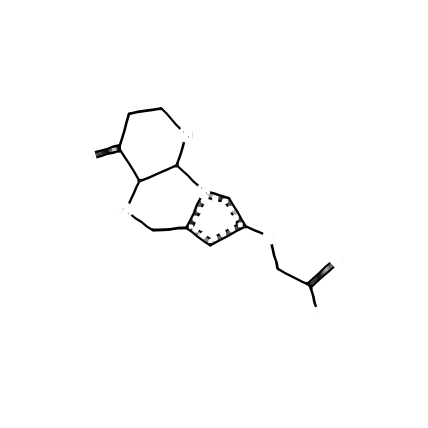 O=C(O)COc1cc2n(c1)C1NCCC(=O)C1NC2